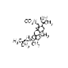 C=C(CO)C1CCC2C3(C)CCC(C(C)CCC=C(C)C)C3(C)CCC23CC13CCC(=O)O